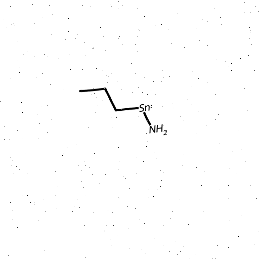 CC[CH2][Sn][NH2]